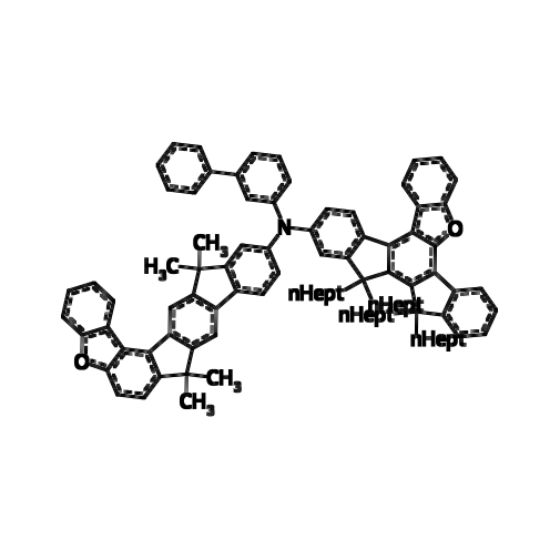 CCCCCCCC1(CCCCCCC)c2ccccc2-c2c1c1c(c3c2oc2ccccc23)-c2ccc(N(c3cccc(-c4ccccc4)c3)c3ccc4c(c3)C(C)(C)c3cc5c(cc3-4)C(C)(C)c3ccc4oc6ccccc6c4c3-5)cc2C1(CCCCCCC)CCCCCCC